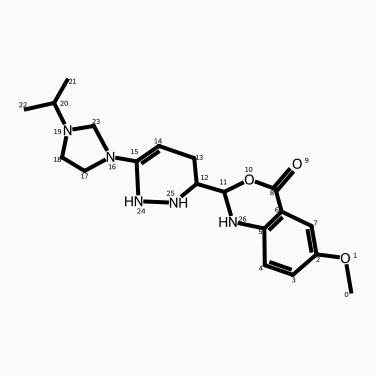 COc1ccc2c(c1)C(=O)OC(C1CC=C(N3CCN(C(C)C)C3)NN1)N2